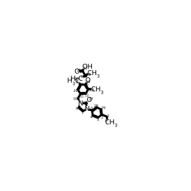 CCc1ccc(-n2ccn(Cc3cc(C)c(OC(C)(C)C(=O)O)c(C)c3)c2=O)cc1